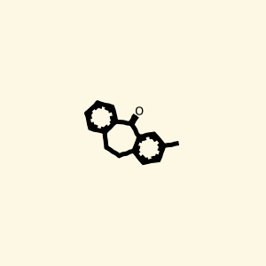 Cc1ccc2c(c1)C(=O)c1ccccc1CC2